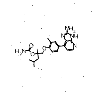 Cc1cc(-c2ccnc3[nH]c(N)nc23)ccc1OCC(C)(CC(C)C)OC(N)=O